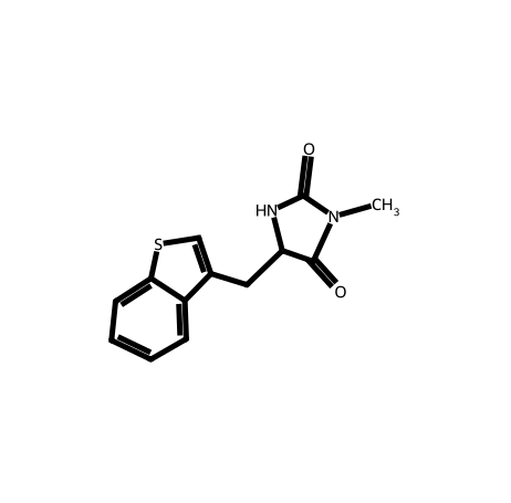 CN1C(=O)NC(Cc2csc3ccccc23)C1=O